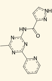 Cc1nc(NC(=O)c2cc[nH]n2)nc(-c2ccccn2)n1